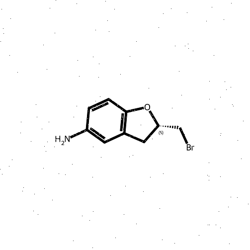 Nc1ccc2c(c1)C[C@@H](CBr)O2